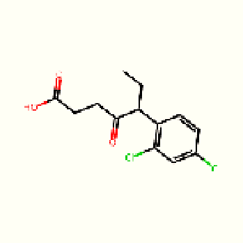 CCC(C(=O)CCC(=O)O)c1ccc(Cl)cc1Cl